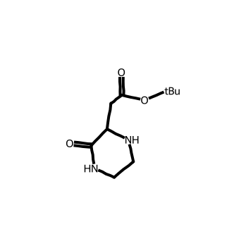 CC(C)(C)OC(=O)CC1NCCNC1=O